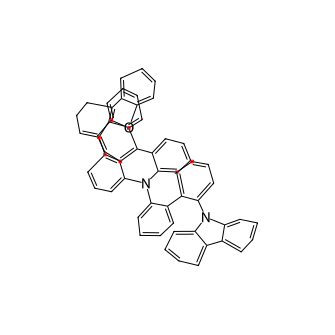 C1=C(c2cccc(N(c3ccccc3-c3ccccc3-n3c4ccccc4c4ccccc43)c3ccccc3-c3cccc4ccccc34)c2)c2oc3ccccc3c2CC1